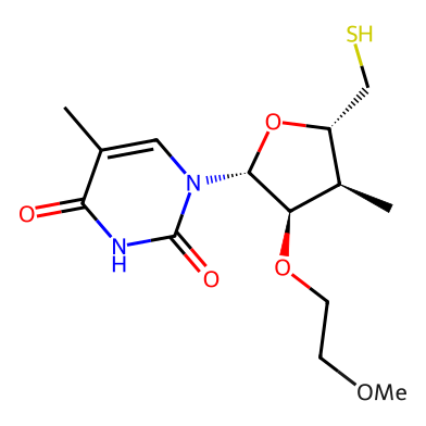 COCCO[C@@H]1[C@H](C)[C@@H](CS)O[C@H]1n1cc(C)c(=O)[nH]c1=O